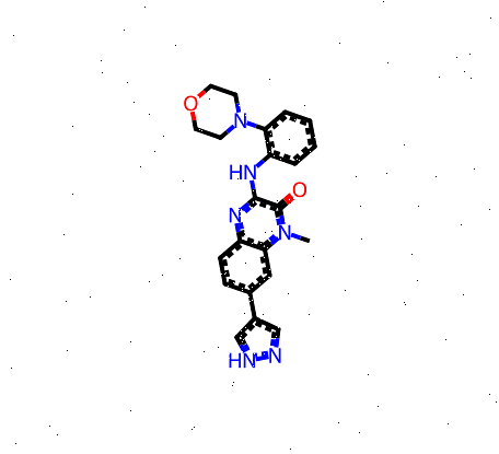 Cn1c(=O)c(Nc2ccccc2N2CCOCC2)nc2ccc(-c3cn[nH]c3)cc21